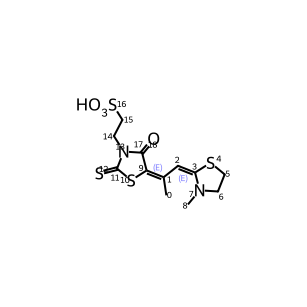 CC(/C=C1/SCCN1C)=C1\SC(=S)N(CCS(=O)(=O)O)C1=O